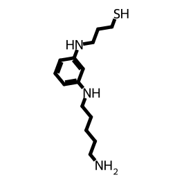 NCCCCCNc1cccc(NCCCS)c1